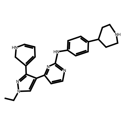 CCn1cc(-c2ccnc(Nc3ccc(C4CCNCC4)cc3)n2)c(C2=CC=CNC2)n1